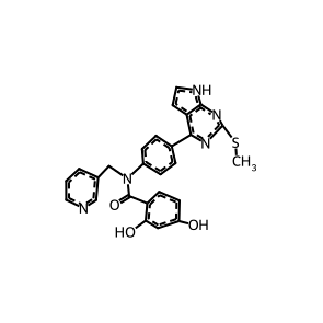 CSc1nc(-c2ccc(N(Cc3cccnc3)C(=O)c3ccc(O)cc3O)cc2)c2cc[nH]c2n1